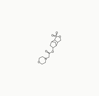 O=C(CN1CCOCC1)OC1CC2CC1C1COS(=O)(=O)C21